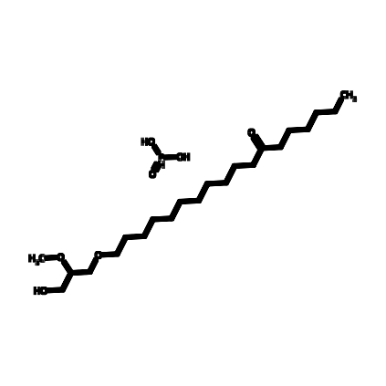 CCCCCCC(=O)CCCCCCCCCCCOCC(CO)OC.O=[PH](O)O